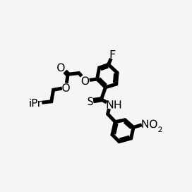 CC(C)CCOC(=O)COc1cc(F)ccc1C(=S)NCc1cccc([N+](=O)[O-])c1